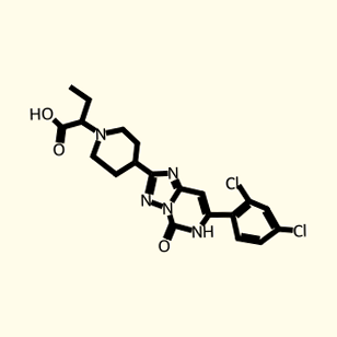 CCC(C(=O)O)N1CCC(c2nc3cc(-c4ccc(Cl)cc4Cl)[nH]c(=O)n3n2)CC1